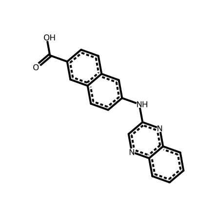 O=C(O)c1ccc2cc(Nc3cnc4ccccc4n3)ccc2c1